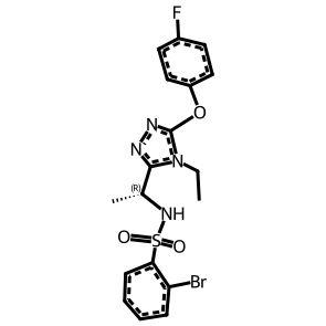 CCn1c(Oc2ccc(F)cc2)nnc1[C@@H](C)NS(=O)(=O)c1ccccc1Br